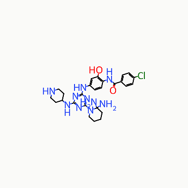 NC1(N)CCCCN1c1nc(Nc2ccc(NC(=O)c3ccc(Cl)cc3)c(O)c2)nc(NC2CCNCC2)n1